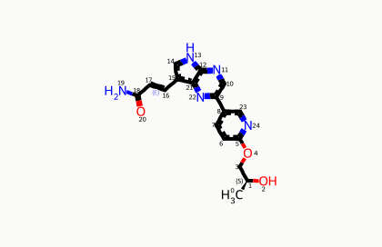 C[C@H](O)COc1ccc(-c2cnc3[nH]cc(/C=C/C(N)=O)c3n2)cn1